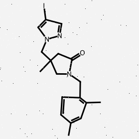 Cc1ccc(CN2CC(C)(Cn3cc(I)cn3)CC2=O)c(C)c1